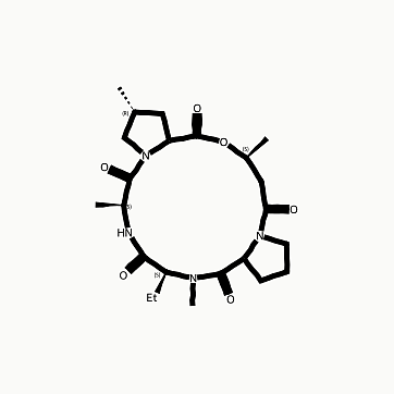 CC[C@H]1C(=O)N[C@@H](C)C(=O)N2C[C@H](C)CC2C(=O)O[C@@H](C)CC(=O)N2CCCC2C(=O)N1C